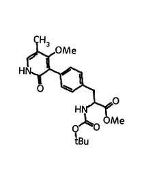 COC(=O)[C@H](Cc1ccc(-c2c(OC)c(C)c[nH]c2=O)cc1)NC(=O)OC(C)(C)C